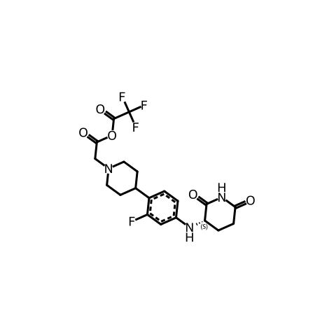 O=C1CC[C@H](Nc2ccc(C3CCN(CC(=O)OC(=O)C(F)(F)F)CC3)c(F)c2)C(=O)N1